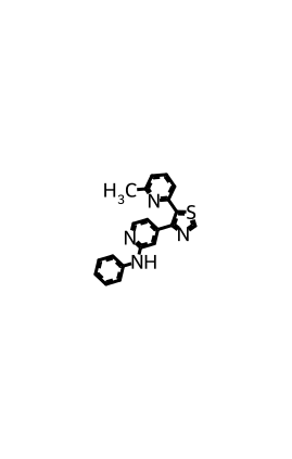 Cc1cccc(-c2scnc2-c2ccnc(Nc3ccccc3)c2)n1